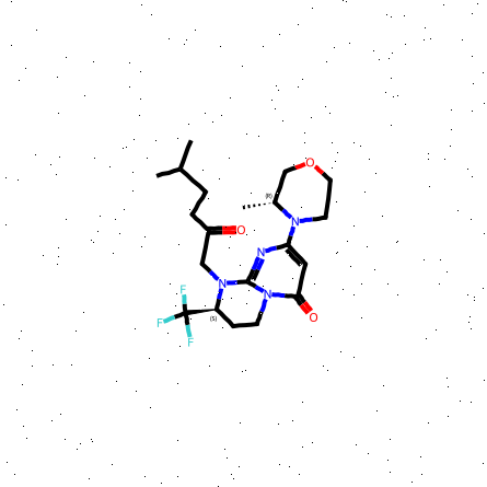 CC(C)CCC(=O)CN1c2nc(N3CCOC[C@H]3C)cc(=O)n2CC[C@H]1C(F)(F)F